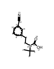 CC(C)(C)N(CCc1cccc(C#N)c1)C(=O)O